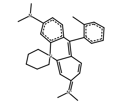 Cc1ccccc1C1=C2C=CC(=[N+](C)C)C=C2[Si]2(CCCCC2)c2cc(N(C)C)ccc21